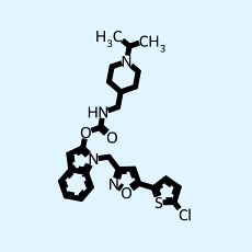 CC(C)N1CCC(CNC(=O)Oc2cc3ccccc3n2Cc2cc(-c3ccc(Cl)s3)on2)CC1